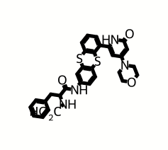 O=C(O)NC(Cc1ccccc1)C(=O)Nc1ccc2c(c1)Sc1cccc(-c3cc(N4CCOCC4)cc(=O)[nH]3)c1S2